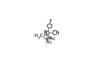 CC(=O)N1CC(C)n2nc(-c3ccc(F)cc3)c(-c3ccncc3)c2N1C(C)=O